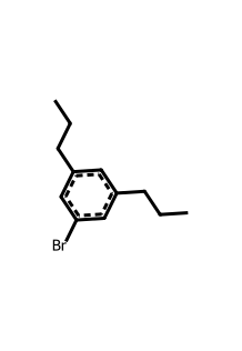 CCCc1cc(Br)cc(CCC)c1